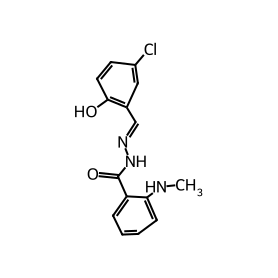 CNc1ccccc1C(=O)NN=Cc1cc(Cl)ccc1O